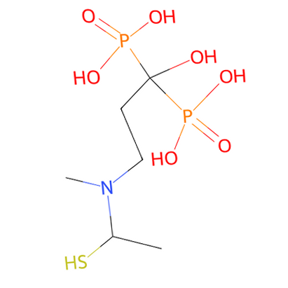 CC(S)N(C)CCC(O)(P(=O)(O)O)P(=O)(O)O